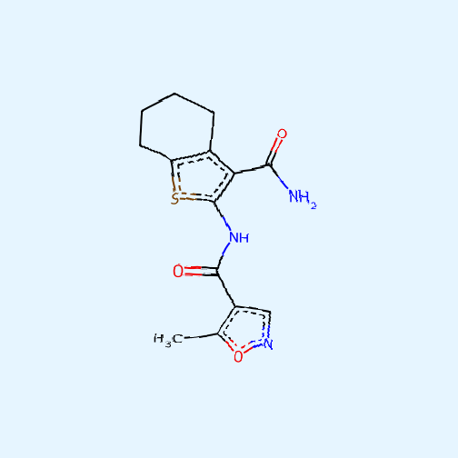 Cc1oncc1C(=O)Nc1sc2c(c1C(N)=O)CCCC2